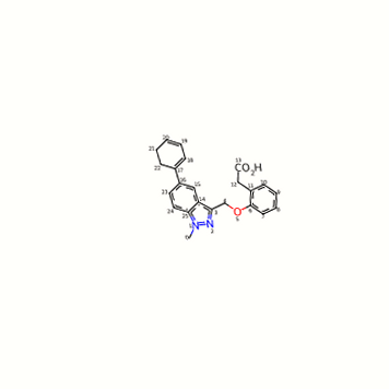 Cn1nc(COc2ccccc2CC(=O)O)c2cc(C3=CC=CCC3)ccc21